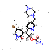 CN1CCN(Cc2ccc(C(c3cc(Br)cn(C)c3=O)C(C)(C)OC(N)=O)nc2)CC1